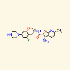 Cc1ccc2c(N)c(C(=O)N[C@@H]3COc4cc(N5CCNCC5)cc(F)c4C3)sc2n1